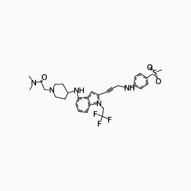 CN(C)C(=O)CN1CCC(Nc2cccc3c2cc(C#CCNc2ccc(S(C)(=O)=O)cc2)n3CC(F)(F)F)CC1